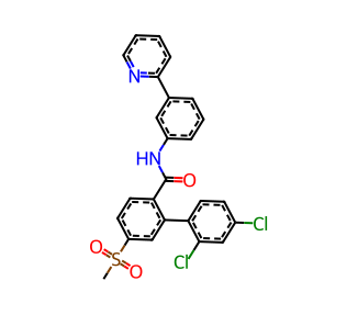 CS(=O)(=O)c1ccc(C(=O)Nc2cccc(-c3ccccn3)c2)c(-c2ccc(Cl)cc2Cl)c1